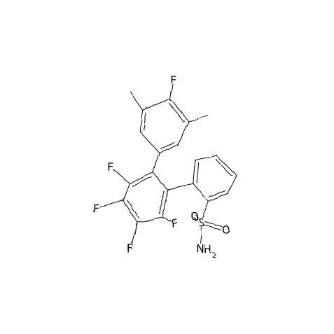 Cc1cc(-c2c(F)c(F)c(F)c(F)c2-c2ccccc2S(N)(=O)=O)cc(C)c1F